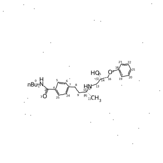 CCCCNC(=O)c1ccc(CC[C@@H](C)NC[C@H](O)COc2ccccc2)cc1